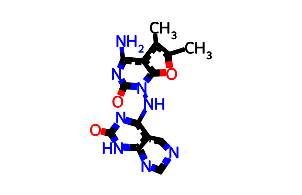 Cc1oc2c(c(N)nc(=O)n2Nc2nc(=O)[nH]c3ncncc23)c1C